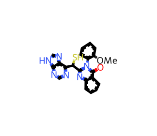 COc1ccccc1-n1c(C(S)c2ncnc3[nH]cnc23)nc2ccccc2c1=O